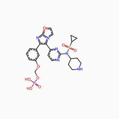 O=P(O)(O)OCOc1cccc(-c2nc3occn3c2-c2ccnc(N(C3CCNCC3)S(=O)(=O)C3CC3)n2)c1